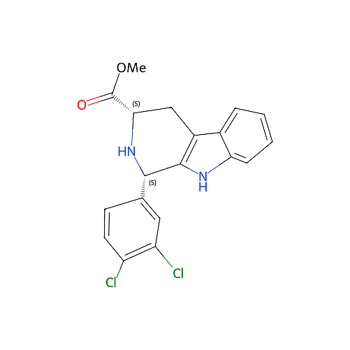 COC(=O)[C@@H]1Cc2c([nH]c3ccccc23)[C@H](c2ccc(Cl)c(Cl)c2)N1